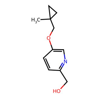 CC1(COc2ccc(CO)nc2)CC1